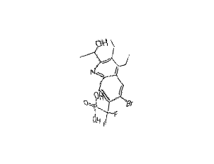 CCc1c(C(C)O)nc2cc(C(F)(F)P(=O)(O)O)c(Br)cc2c1CC